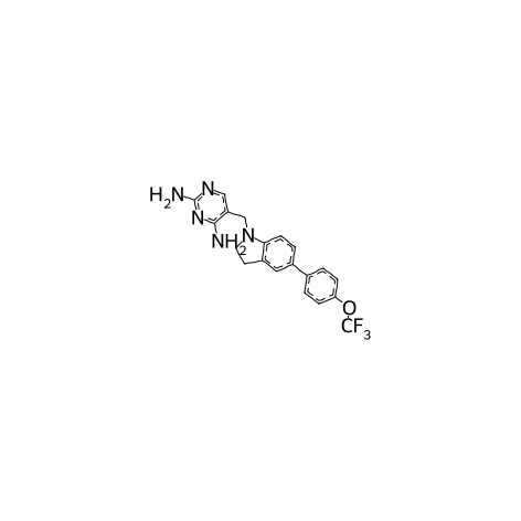 Nc1ncc(CN2CCc3cc(-c4ccc(OC(F)(F)F)cc4)ccc32)c(N)n1